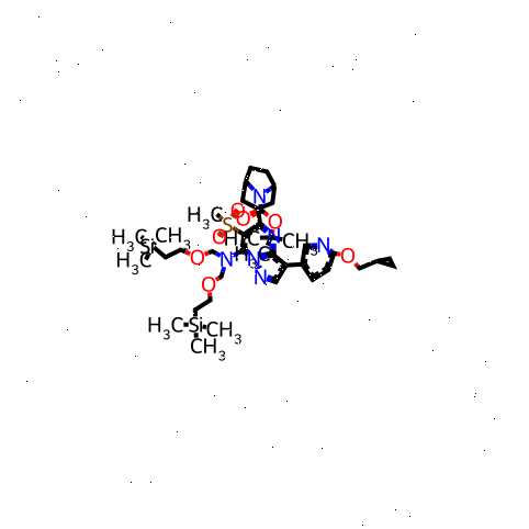 CC(C)(C)OC(=O)N1C2CCC1CC(c1nc3c(-c4ccc(OCC5CC5)nc4)cnn3c(N(COCC[Si](C)(C)C)COCC[Si](C)(C)C)c1S(C)(=O)=O)C2